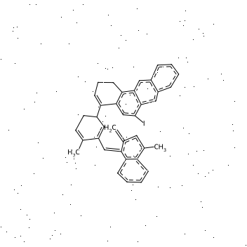 C=c1cc(C)c2ccccc2/c1=C/C1=CC(C2=CCCc3c2cc(I)c2cc4ccccc4cc32)CC=C1C